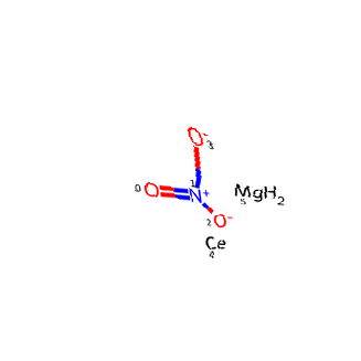 O=[N+]([O-])[O-].[Ce].[MgH2]